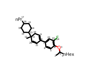 CCCCCCC(C)Oc1ccc(C2=CCC(C)(C3CCC(CCC)CC3)C=C2)cc1F